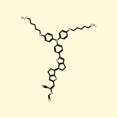 CCCCCCOc1ccc(N(c2ccc(OCCCCCC)cc2)c2ccc(-c3cc4c(s3)/C(=C3\CCc5cc(/C=C(\C#N)OC=O)sc53)CC4)cc2)cc1